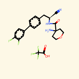 N#C[C@H](Cc1ccc(-c2ccc(F)c(F)c2)cc1)NC(=O)C1(N)CCOCC1.O=C(O)C(F)(F)F